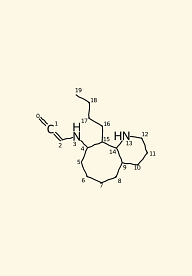 C=C=CNC1CCCCC2CCCNC2C1CCCC